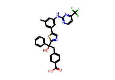 Cc1cc(Nc2nccc(C(F)(F)F)n2)cc(-c2cnc(C(O)(Cc3ccc(C(=O)O)cc3)c3ccccc3)s2)c1